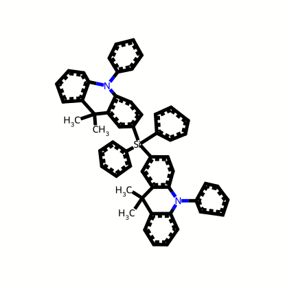 CC1(C)c2ccccc2N(c2ccccc2)c2ccc([Si](c3ccccc3)(c3ccccc3)c3ccc4c(c3)C(C)(C)c3ccccc3N4c3ccccc3)cc21